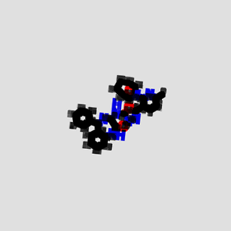 Cc1ccc(-c2nnc(NC3N=C(c4ccccc4)c4ccccc4NC3=O)o2)c(N2CC3CCC(C2)O3)n1